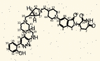 O=C1CCC(N2Cc3ccc(N4CCC(CN5C[C@@H]6C(CN7CCN8c9cc(-c%10ccccc%10O)nnc9NC[C@H]8C7)[C@@H]6C5)CC4)cc3C2=O)C(=O)N1